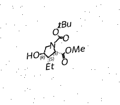 CC[C@H]1[C@@H](C(=O)OC)N(C(=O)OC(C)(C)C)C[C@@H]1O